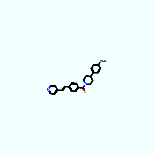 COc1ccc(C2CCN(C(=O)c3ccc(/C=C/c4ccncc4)cc3)CC2)cc1